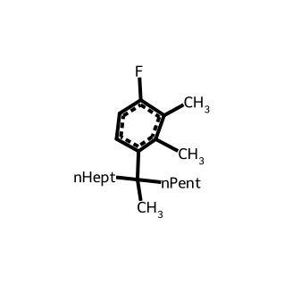 CCCCCCCC(C)(CCCCC)c1ccc(F)c(C)c1C